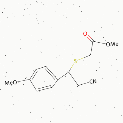 COC(=O)CSC(CC#N)c1ccc(OC)cc1